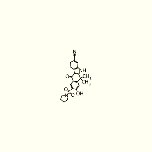 CC1(C)c2cc(O)c(S(=O)(=O)N3CCCC3)cc2C(=O)c2c1[nH]c1cc(C#N)ccc21